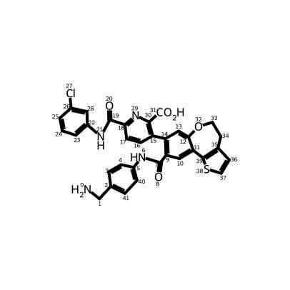 NCc1ccc(NC(=O)c2cc3c(cc2-c2ccc(C(=O)Nc4cccc(Cl)c4)nc2C(=O)O)OCCc2ccsc2-3)cc1